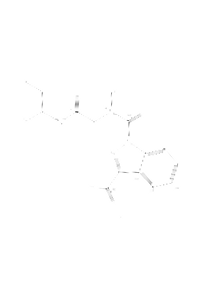 CCC(C)NC(=O)CN(C)C(=O)n1nc(C(=O)O)c2ccccc21